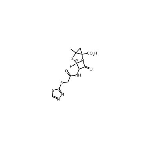 CC12CC1(C(=O)O)N1C(=O)C(NC(=O)CSc3nncs3)[C@@H]1S2